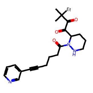 CCC(C)(C)C(=O)C(=O)C1CCCNN1C(=O)CCCC#Cc1cccnc1